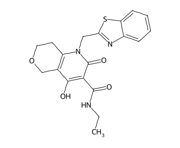 CCNC(=O)c1c(O)c2c(n(Cc3nc4ccccc4s3)c1=O)CCOC2